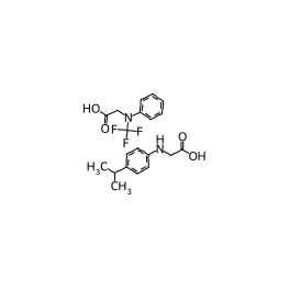 CC(C)c1ccc(NCC(=O)O)cc1.O=C(O)CN(c1ccccc1)C(F)(F)F